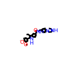 CCc1c(-c2ccc(OC)c(OC)c2)[nH]c2ccc(C(=O)NCc3ccc(N4CCNCC4)cc3)cc12